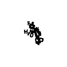 Cc1cc(-c2nn3c(c2C(N)=O)CN(C(=O)OC(C)(C)C)CC3)ccc1F